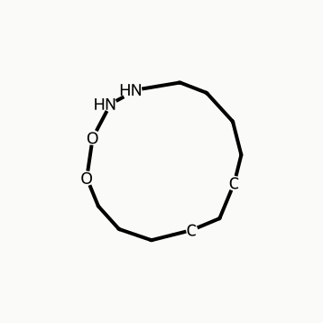 C1CCCCCOONNCCCC1